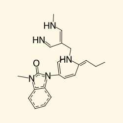 C\C=C(/C=C\C(=C/CC)NC/C(C=N)=C/NC)n1c(=O)n(C)c2ccccc21